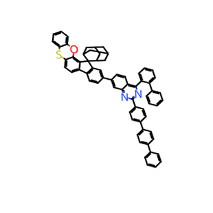 c1ccc(-c2ccc(-c3ccc(-c4nc(-c5ccccc5-c5ccccc5)c5ccc(-c6ccc7c(c6)C6(c8c-7ccc7c8Oc8ccccc8S7)C7CC8CC(C7)CC6C8)cc5n4)cc3)cc2)cc1